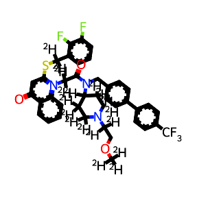 [2H]C([2H])([2H])OCC([2H])([2H])N1C([2H])([2H])C([2H])([2H])C([2H])(N(Cc2ccc(-c3ccc(C(F)(F)F)cc3)cc2)C(=O)C([2H])([2H])n2c(SC([2H])([2H])c3cccc(F)c3F)cc(=O)c3ccccc32)C([2H])([2H])C1([2H])[2H]